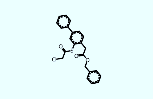 O=C(Cc1ccc(-c2ccccc2)cc1SC(=O)CCl)OCc1ccccc1